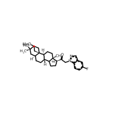 COCC[C@]12CC[C@@](C)(O)C[C@@H]1CC[C@H]1[C@@H]3CC[C@H](C(=O)Cn4ncc5cc(F)ccc54)[C@@]3(C)CC[C@@H]12